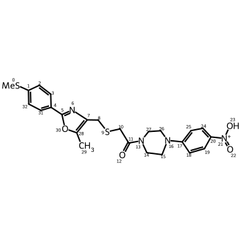 CSc1ccc(-c2nc(CSCC(=O)N3CCN(c4ccc([N+](=O)O)cc4)CC3)c(C)o2)cc1